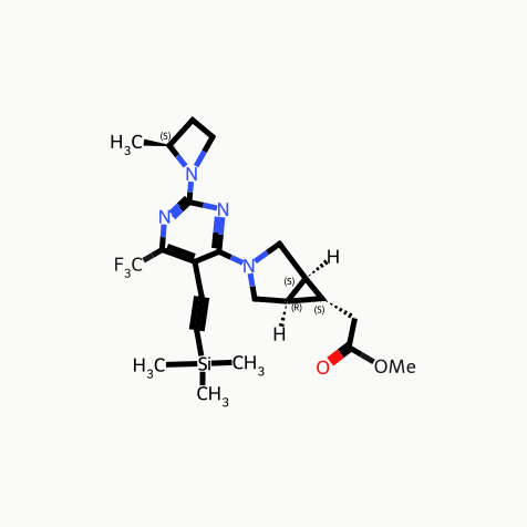 COC(=O)C[C@@H]1[C@H]2CN(c3nc(N4CC[C@@H]4C)nc(C(F)(F)F)c3C#C[Si](C)(C)C)C[C@@H]12